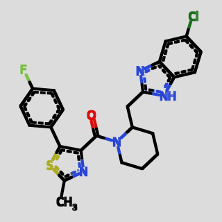 Cc1nc(C(=O)N2CCCCC2Cc2nc3cc(Cl)ccc3[nH]2)c(-c2ccc(F)cc2)s1